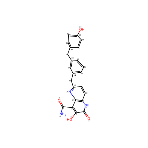 NC(=O)c1c(O)c(=O)[nH]c2ccc(Cc3cccc(Cc4ccc(O)cc4)c3)nc12